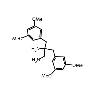 COc1cc(CC(N)(CN)Cc2cc(OC)cc(OC)c2)cc(OC)c1